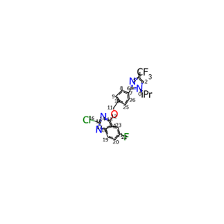 CC(C)n1cc(C(F)(F)F)nc1-c1ccc(COc2nc(Cl)nc3ccc(F)cc23)cc1